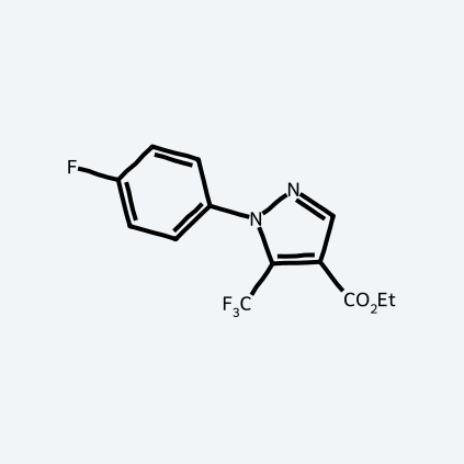 CCOC(=O)c1cnn(-c2ccc(F)cc2)c1C(F)(F)F